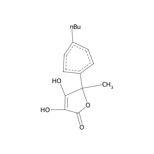 CCCCc1ccc(C2(C)OC(=O)C(O)=C2O)cc1